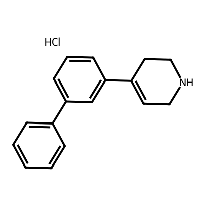 C1=C(c2cccc(-c3ccccc3)c2)CCNC1.Cl